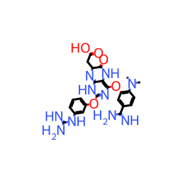 CN(C)c1ccc(C(=N)N)cc1OC1=C2NC(=O)C(CC(=O)O)N=C2NC(Oc2cccc(NC(=N)N)c2)=N1